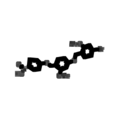 COc1cc(Br)ccc1COc1ccc(COc2ccc([N+](=O)O)cc2)c(OC)c1